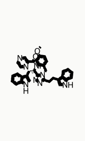 COc1ccc(Cn2c(CCc3c[nH]c4ccccc34)nnc2[C@H](Cc2c[nH]c3ccccc23)NC(=O)c2cnccn2)cc1